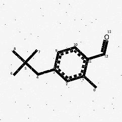 Cc1cc(CC(C)(C)C)ccc1C=O